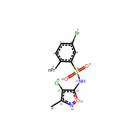 CCCc1ccc(Br)cc1S(=O)(=O)Nc1onc(C)c1Cl